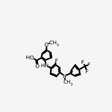 COc1ccc(Nc2ccc(N(C)c3ccc(C(F)(F)F)cc3)cc2F)c(C(=O)O)c1